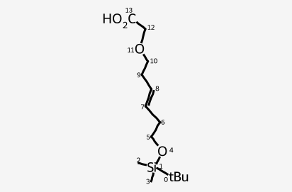 CC(C)(C)[Si](C)(C)OCC/C=C/CCOCC(=O)O